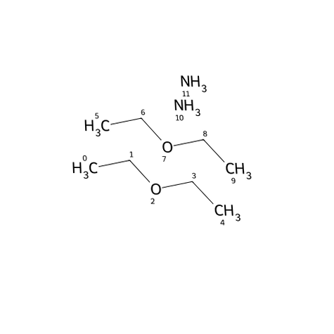 CCOCC.CCOCC.N.N